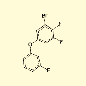 Fc1cccc(Oc2cc(F)c(F)c(Br)c2)c1